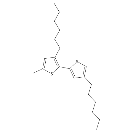 CCCCCCc1csc(-c2sc(C)cc2CCCCCC)c1